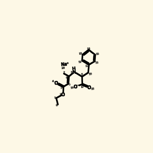 CCOC(=O)C=C(C)NC(Cc1ccccc1)C(=O)[O-].[Na+]